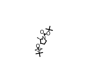 C[C@@H]1[C@@H](O[Si](C)(C)C(C)(C)C)CCN1C(=O)OC(C)(C)C